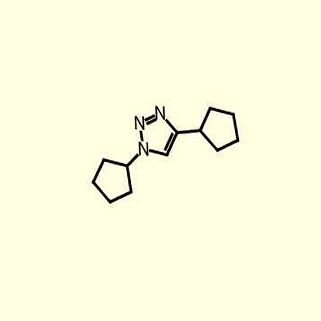 c1c(C2CCCC2)nnn1C1CCCC1